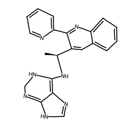 C[C@H](NC1=c2nc[nH]c2=NCN1)c1cc2ccccc2nc1-c1ccccn1